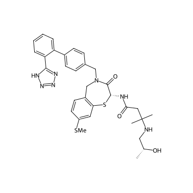 CSc1ccc2c(c1)S[C@@H](NC(=O)CC(C)(C)NC[C@@H](C)O)C(=O)N(Cc1ccc(-c3ccccc3-c3nnn[nH]3)cc1)C2